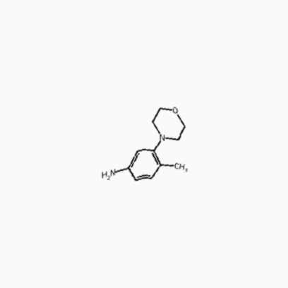 Cc1ccc(N)cc1N1CCOCC1